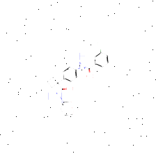 O=C(Nc1ccc(C2(C(=O)N[C@H]3CCCOC3)CCC2)cc1)c1cccc(Cl)c1